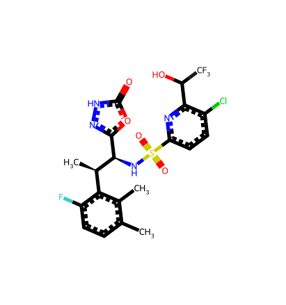 Cc1ccc(F)c([C@@H](C)[C@H](NS(=O)(=O)c2ccc(Cl)c(C(O)C(F)(F)F)n2)c2n[nH]c(=O)o2)c1C